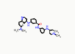 C=N/C=C\C(=C/C)Nc1cccc(NC(=O)c2cccc(Nc3ccnc4ccc(N(C)C)cc34)c2)c1